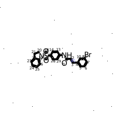 O=C(/C=C/c1cccc(Br)c1)Nc1ccc(S(=O)(=O)N2CCc3ccccc32)cc1